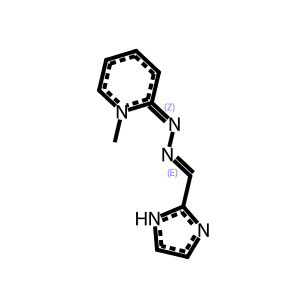 Cn1cccc/c1=N/N=C/c1ncc[nH]1